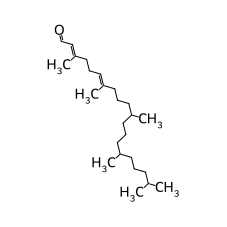 C/C(=C\C=O)CC/C=C(\C)CCCC(C)CCCC(C)CCCC(C)C